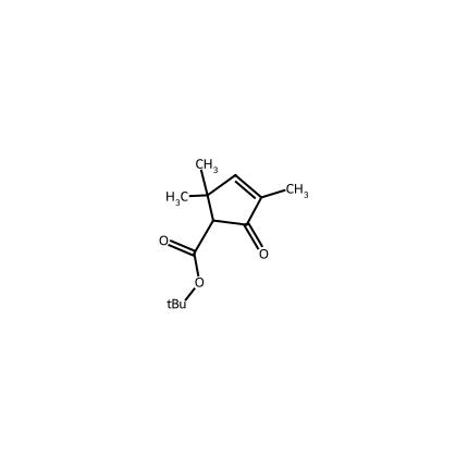 CC1=CC(C)(C)C(C(=O)OC(C)(C)C)C1=O